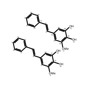 COc1cc(C=Cc2ccccc2)cc(O)c1O.COc1cc(C=Cc2ccccc2)cc(O)c1O